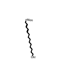 CCCCCCCCCC/C=C/C=C/CCCCCCCCCO